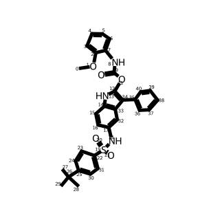 COc1ccccc1NC(=O)Oc1[nH]c2ccc(NS(=O)(=O)c3ccc(C(C)(C)C)cc3)cc2c1-c1ccccc1